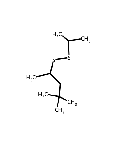 CC(C)SSC(C)CC(C)(C)C